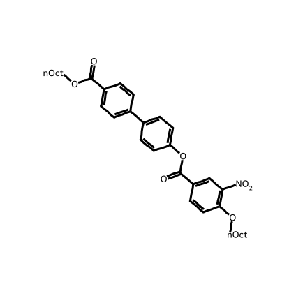 CCCCCCCCOC(=O)c1ccc(-c2ccc(OC(=O)c3ccc(OCCCCCCCC)c([N+](=O)[O-])c3)cc2)cc1